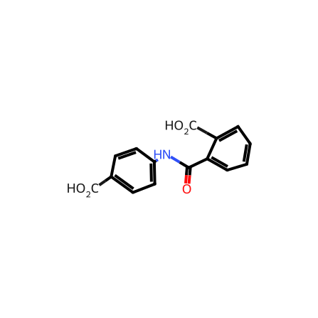 O=C(O)c1ccc(NC(=O)c2ccccc2C(=O)O)cc1